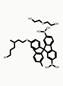 Cc1ccc(C)c(C2(c3ccc(OCCC(C)CCCC(C)C)cc3)c3cc(B(O)O)ccc3-c3ccc(B(O)O)cc32)c1.OCCOCCO